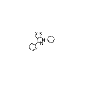 [c]1cc2c(-c3ccccn3)nn(-c3ccccc3)c2s1